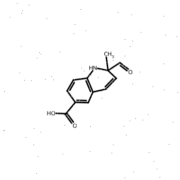 CC1(C=O)C=Cc2cc(C(=O)O)ccc2N1